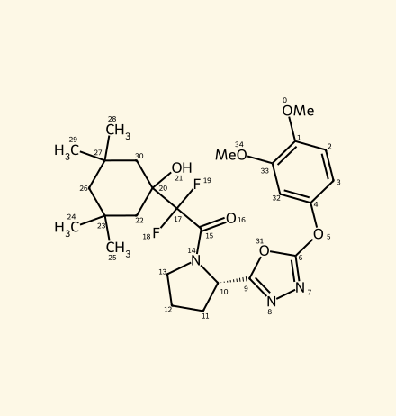 COc1ccc(Oc2nnc([C@@H]3CCCN3C(=O)C(F)(F)C3(O)CC(C)(C)CC(C)(C)C3)o2)cc1OC